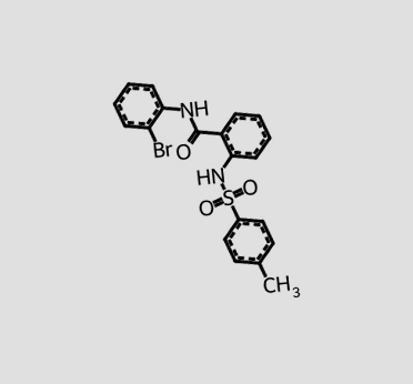 Cc1ccc(S(=O)(=O)Nc2ccccc2C(=O)Nc2ccccc2Br)cc1